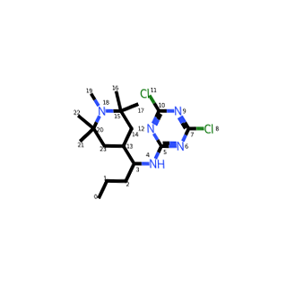 CCCC(Nc1nc(Cl)nc(Cl)n1)C1CC(C)(C)N(C)C(C)(C)C1